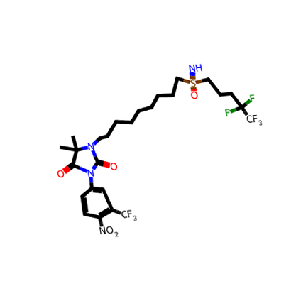 CC1(C)C(=O)N(c2ccc([N+](=O)[O-])c(C(F)(F)F)c2)C(=O)N1CCCCCCCCCS(=N)(=O)CCCC(F)(F)C(F)(F)F